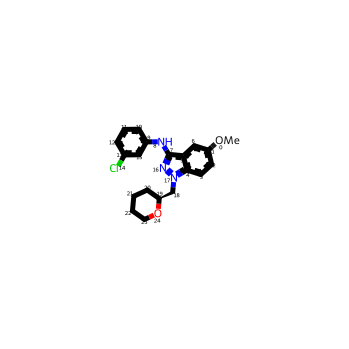 COc1ccc2c(c1)c(Nc1cccc(Cl)c1)nn2C[C@@H]1CCCCO1